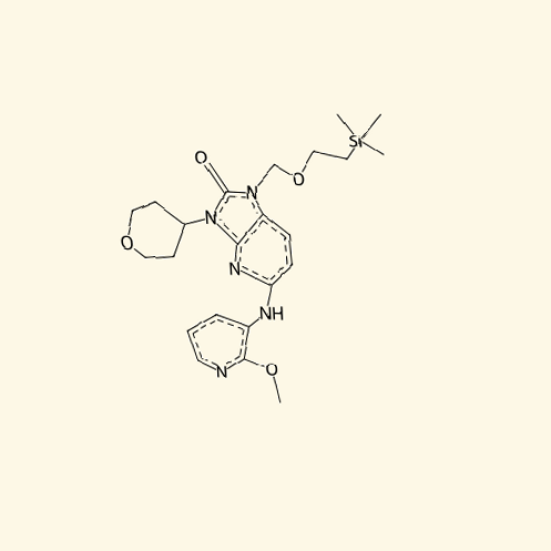 COc1ncccc1Nc1ccc2c(n1)n(C1CCOCC1)c(=O)n2COCC[Si](C)(C)C